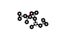 c1ccc(-c2nc(-c3cccc(-n4c5ccccc5c5ccccc54)c3)nc(-c3ccc(-n4c5ccccc5c5ccccc54)c(-c4ccc5c6ccc(-n7c8ccccc8c8ccccc87)cc6n(-c6ccccc6)c5c4)c3)n2)cc1